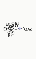 CCOP(=O)(OCC)C(C/C=C/COC(C)=O)P(=O)(OCC)OCC